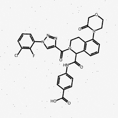 O=C(O)c1ccc(NC(=O)C2c3cccc(N4CCOCC4=O)c3CCN2C(=O)c2cn(-c3cccc(Cl)c3F)nn2)cc1